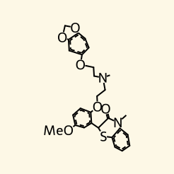 COc1ccc(OCCN(C)CCOc2ccc3c(c2)OCO3)c(C2Sc3ccccc3N(C)C2=O)c1